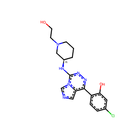 OCCN1CCC[C@@H](Nc2nnc(-c3ccc(Cl)cc3O)c3cncn23)C1